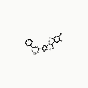 O=C(N[C@H](CO)c1ccccc1)c1cc(NC(=O)c2cc(F)c(F)cc2Cl)[nH]n1